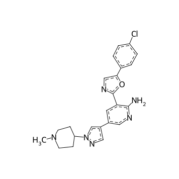 CN1CCC(n2cc(-c3cnc(N)c(-c4ncc(-c5ccc(Cl)cc5)o4)c3)cn2)CC1